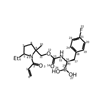 C=CC(=O)N1C(CC)CCC1(C)COC(=O)N[C@@H](Cc1ccc(F)cc1)B(O)O